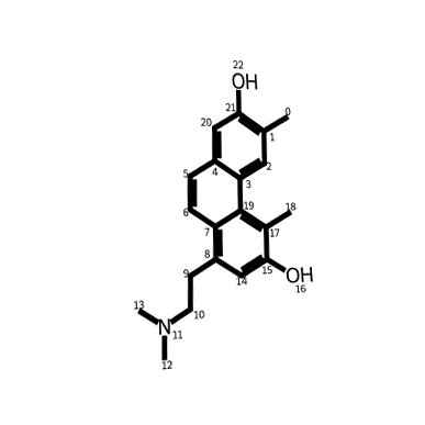 Cc1cc2c(ccc3c(CCN(C)C)cc(O)c(C)c32)cc1O